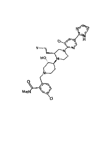 CNC(=O)c1cc(Cl)ccc1CN1CC[C@H](N2CCN(c3ncc(-c4ncc[nH]4)cc3Cl)C[C@@H]2CCF)[C@@H](O)C1